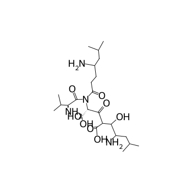 CC(C)CC(N)CCC(=O)N(C(=O)[C@@H](N)C(C)C)[C@H](C(=O)C(C(=O)O)C(O)C(N)CC(C)C)C(O)O